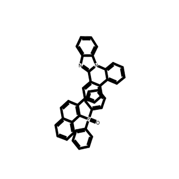 O=P(c1ccccc1)(c1ccccc1)c1c(-c2ccc3c4ccccc4n4c5ccccc5nc4c3c2)ccc2ccccc12